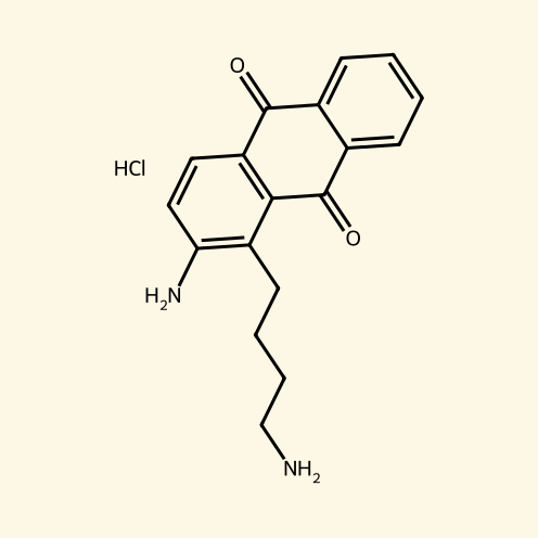 Cl.NCCCCc1c(N)ccc2c1C(=O)c1ccccc1C2=O